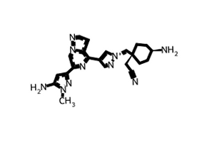 Cn1nc(-c2cn3nccc3c(C3=C/[N+](=C/[C@]4(CC#N)CC[C@@H](N)CC4)N=C3)n2)cc1N